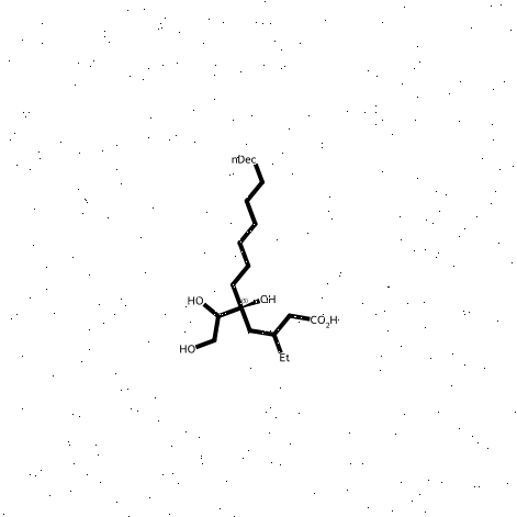 CCCCCCCCCCCCCCCC[C@](O)(CC(CC)CC(=O)O)C(O)CO